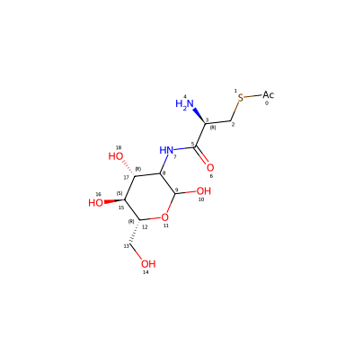 CC(=O)SC[C@H](N)C(=O)NC1C(O)O[C@H](CO)[C@@H](O)[C@@H]1O